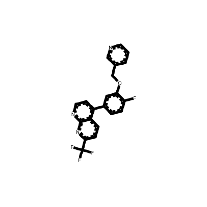 Fc1ccc(-c2ccnc3nc(C(F)(F)F)ccc23)cc1OCc1cccnc1